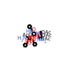 CC(=O)OC1C(NC(=O)c2ccccc2)CC(N)C(OC2OC([C@@H](C)OC(C)=O)C(OC(C)=O)C(OC(C)=O)C2N)C1OC1OC(CN)C(OC(=O)c2ccccc2)C1OC(=O)c1ccccc1